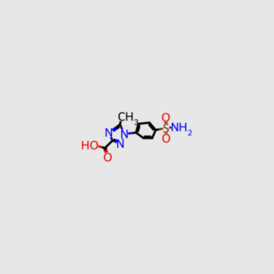 Cc1nc(C(=O)O)nn1-c1ccc(S(N)(=O)=O)cc1